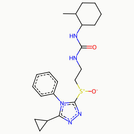 CC1CCCCC1NC(=O)NCC[S+]([O-])c1nnc(C2CC2)n1-c1ccccc1